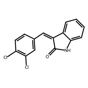 O=C1Nc2ccccc2/C1=C/c1ccc(Cl)c(Cl)c1